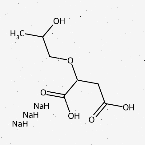 CC(O)COC(CC(=O)O)C(=O)O.[NaH].[NaH].[NaH]